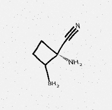 BC1CC[C@@]1(N)C#N